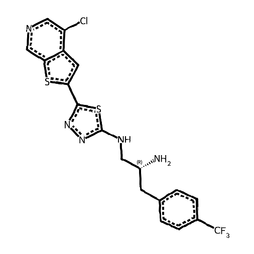 N[C@@H](CNc1nnc(-c2cc3c(Cl)cncc3s2)s1)Cc1ccc(C(F)(F)F)cc1